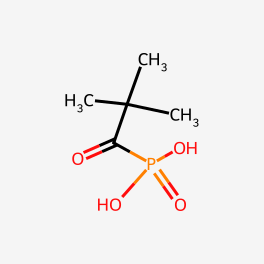 CC(C)(C)C(=O)P(=O)(O)O